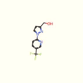 OCc1ccn(-c2ccc(C(F)(F)F)cn2)n1